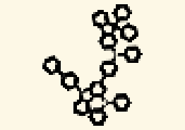 c1ccc(-c2ccc(-n3c4ccccc4c4c(N(c5ccccc5)c5ccccc5)cc(-c5ccc(N(c6ccccc6)c6ccc7c(c6)C(c6ccccc6)(c6ccccc6)c6ccccc6-7)cc5)cc43)cc2)cc1